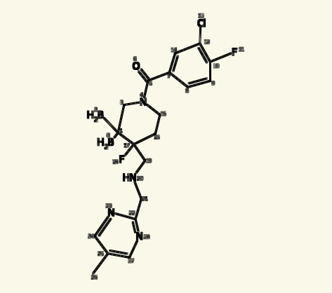 BC1(B)CN(C(=O)c2ccc(F)c(Cl)c2)CCC1(F)CNCc1ncc(C)cn1